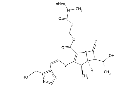 CCCCCCN(C)C(=O)OCOC(=O)C1=C(S/C=C\c2scnc2CO)[C@H](C)[C@@H]2[C@@H]([C@@H](C)O)C(=O)N12